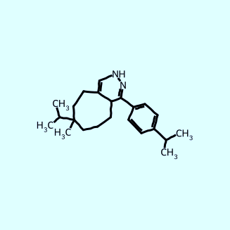 CC(C)c1ccc(C2=NNC=C3CCC(C)(C(C)C)CCCC32)cc1